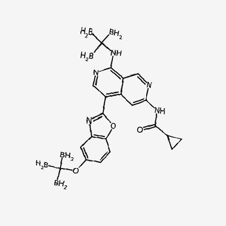 BC(B)(B)Nc1ncc(-c2nc3cc(OC(B)(B)B)ccc3o2)c2cc(NC(=O)C3CC3)ncc12